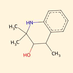 CC1c2ccccc2NC(C)(C)C1O